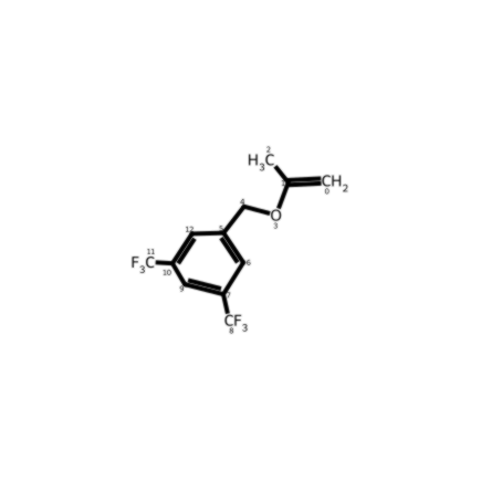 C=C(C)OCc1cc(C(F)(F)F)cc(C(F)(F)F)c1